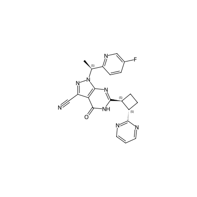 C[C@@H](c1ccc(F)cn1)n1nc(C#N)c2c(=O)[nH]c([C@H]3CC[C@@H]3c3ncccn3)nc21